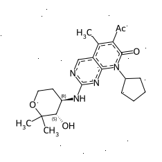 CC(=O)c1c(C)c2cnc(N[C@@H]3CCOC(C)(C)[C@H]3O)nc2n(C2CCCC2)c1=O